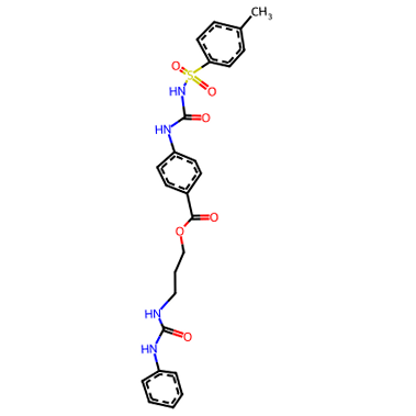 Cc1ccc(S(=O)(=O)NC(=O)Nc2ccc(C(=O)OCCCNC(=O)Nc3ccccc3)cc2)cc1